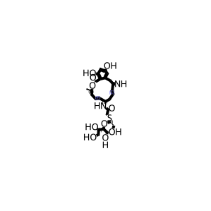 C[C@@H]1C/C=C/[C@@H](NC(=O)CS[C@H](CO)OC(CO)[C@H](O)CO)C/C=C/C(=N)Cc2cc(O)cc(O)c2C(=O)O1